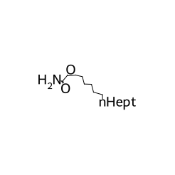 CCCCCCCCCCCCC1OC1C(N)=O